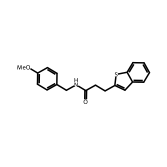 COc1ccc(CNC(=O)CCc2cc3ccccc3s2)cc1